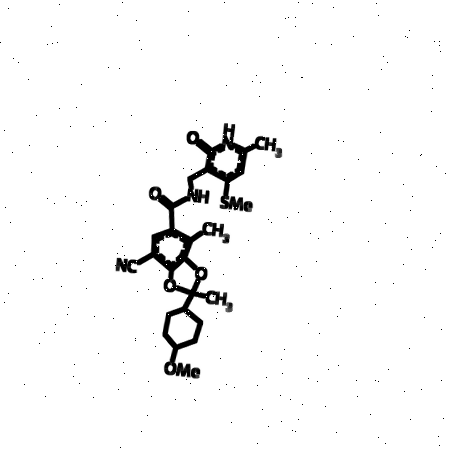 COC1CCC(C2(C)Oc3c(C#N)cc(C(=O)NCc4c(SC)cc(C)[nH]c4=O)c(C)c3O2)CC1